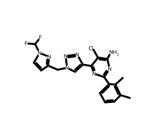 Cc1cccc(-c2nc(N)c(Cl)c(-c3cn(Cc4ccn(C(F)F)n4)nn3)n2)c1C